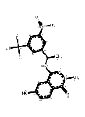 CC(Nc1nn(C)c(=O)c2ccc(O)cc12)c1cc([N+](=O)[O-])cc(C(F)(F)F)c1